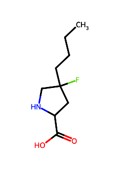 CCCCC1(F)CNC(C(=O)O)C1